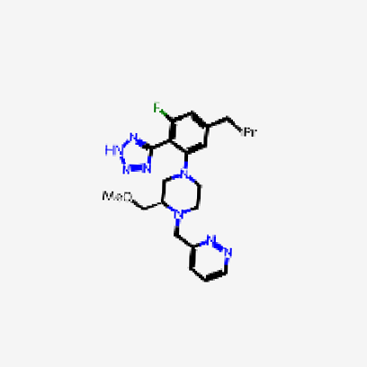 COC[C@H]1CN(c2cc(CC(C)C)cc(F)c2-c2nn[nH]n2)CCN1Cc1cccnn1